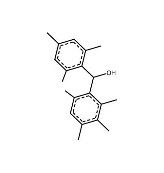 Cc1cc(C)c(C(O)c2c(C)cc(C)c(C)c2C)c(C)c1